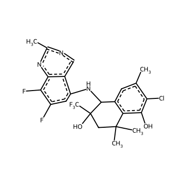 Cc1ncc2c(NC3c4cc(C)c(Cl)c(O)c4C(C)(C)CC3(O)C(F)(F)F)cc(F)c(F)c2n1